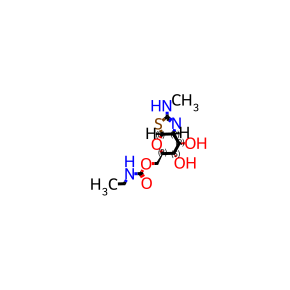 CCNC(=O)OC[C@H]1O[C@@H]2SC(NC)=N[C@@H]2[C@@H](O)[C@@H]1O